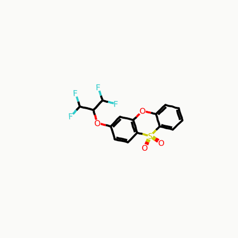 O=S1(=O)c2ccccc2Oc2cc(OC(C(F)F)C(F)F)ccc21